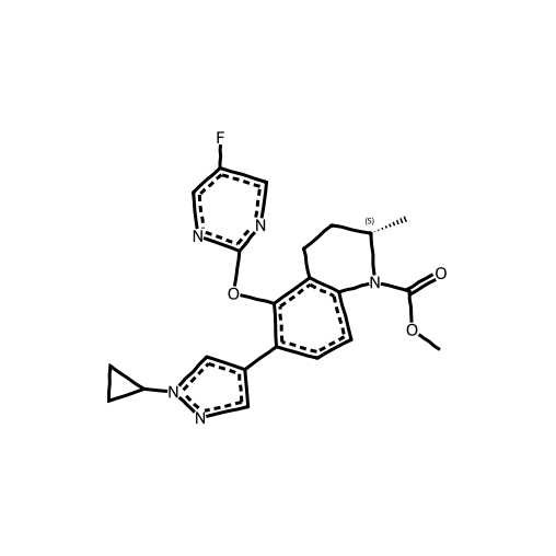 COC(=O)N1c2ccc(-c3cnn(C4CC4)c3)c(Oc3ncc(F)cn3)c2CC[C@@H]1C